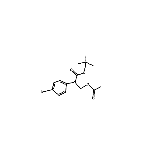 CC(=O)OCN(C(=O)OC(C)(C)C)c1ccc(Br)cc1